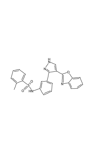 Cc1ccccc1S(=O)(=O)Nc1cccc(-c2n[nH]cc2-c2nc3ccccc3o2)c1